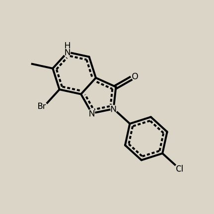 Cc1[nH]cc2c(=O)n(-c3ccc(Cl)cc3)nc-2c1Br